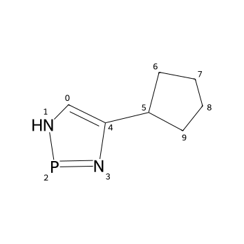 c1[nH]pnc1C1CCCC1